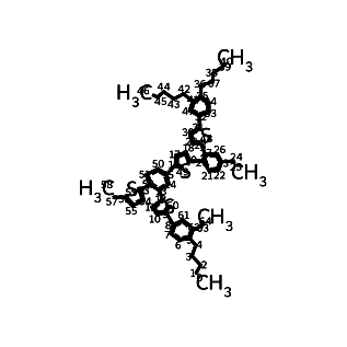 CCCCCc1ccc(-c2ccc(-c3cc(-c4ccc(-c5ccc(CC)cc5-c5ccc(-c6ccc(CCCCC)c(CCCCC)c6)s5)s4)ccc3-c3ccc(CC)s3)s2)cc1CC